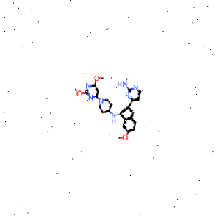 CNc1nccc(-c2cc(NC3CCN(c4cc(OC)nc(OC)n4)CC3)c3cc(OC)ccc3c2)n1